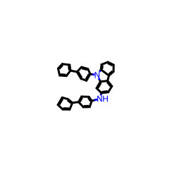 c1ccc(-c2ccc(Nc3ccc4c5ccccc5n(-c5ccc(-c6ccccc6)cc5)c4c3)cc2)cc1